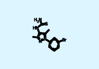 Cc1nn(-c2cccc(Br)c2)c(C)c1NC(N)=S